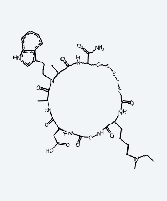 CCN(C)CCCCC1NC(=O)CCSSCC(C(N)=O)NC(=O)C(C)N(CCc2c[nH]c3ccccc23)C(=O)C(C)NC(=O)C(CC(=O)O)NC(=O)CNC1=O